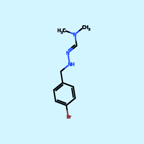 CN(C)/C=N/NCc1ccc(Br)cc1